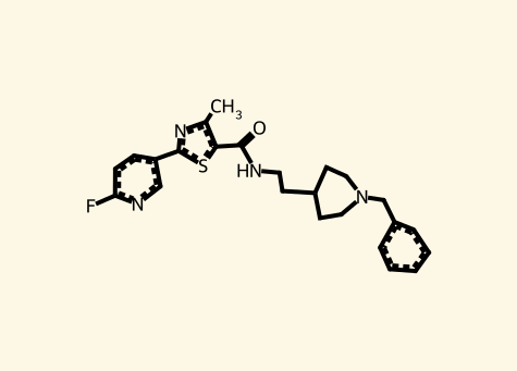 Cc1nc(-c2ccc(F)nc2)sc1C(=O)NCCC1CCN(Cc2ccccc2)CC1